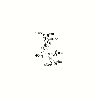 CCCCCCCCCCC(CN(CCCC[S](CCCCN(CC(CCCCCCCCCC)O[Si](C)(C)C(C)(C)C)CC(CCCCCCCCCC)O[Si](C)(C)C(C)(C)C)C(=O)CCC(O)=S)CC(CCCCCCCCCC)O[Si](C)(C)C(C)(C)C)O[Si](C)(C)C(C)(C)C